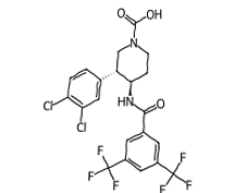 O=C(N[C@@H]1CCN(C(=O)O)C[C@H]1c1ccc(Cl)c(Cl)c1)c1cc(C(F)(F)F)cc(C(F)(F)F)c1